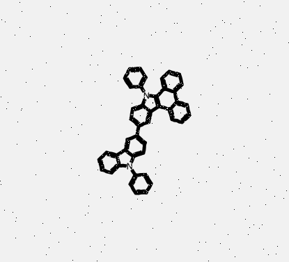 c1ccc(-n2c3ccccc3c3cc(-c4ccc5c(c4)c4c6ccccc6c6ccccc6c4n5-c4ccccc4)ccc32)cc1